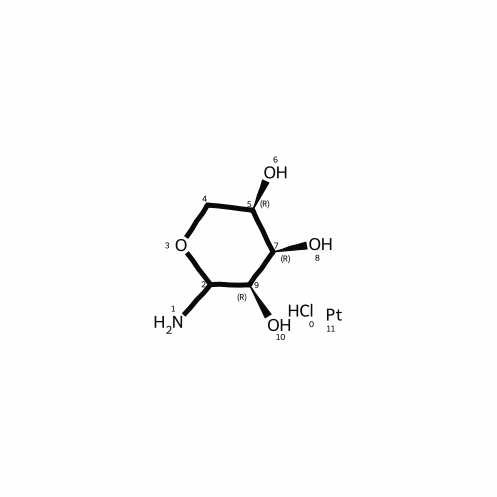 Cl.NC1OC[C@@H](O)[C@@H](O)[C@H]1O.[Pt]